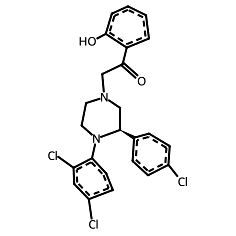 O=C(CN1CCN(c2ccc(Cl)cc2Cl)[C@H](c2ccc(Cl)cc2)C1)c1ccccc1O